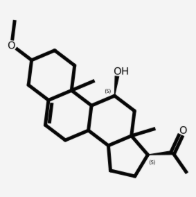 COC1CCC2(C)C(=CCC3C2[C@@H](O)CC2(C)C3CC[C@@H]2C(C)=O)C1